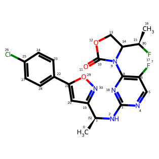 C[C@H](Nc1ncc(F)c(N2C(=O)OCC2[C@@H](C)F)n1)c1cc(-c2ccc(Cl)cc2)on1